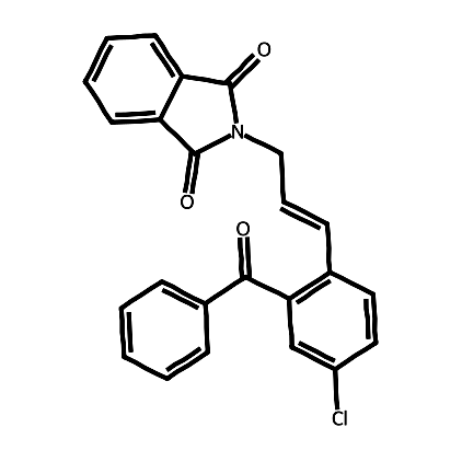 O=C(c1ccccc1)c1cc(Cl)ccc1C=CCN1C(=O)c2ccccc2C1=O